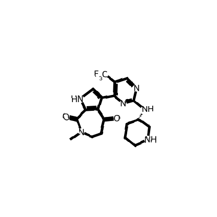 CN1CCC(=O)c2c(-c3nc(N[C@H]4CCCNC4)ncc3C(F)(F)F)c[nH]c2C1=O